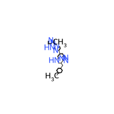 Cc1ccc(CC2CNc3cc(-c4ccnc(Nc5ccnn5C)n4)cc4nnc2n34)cc1